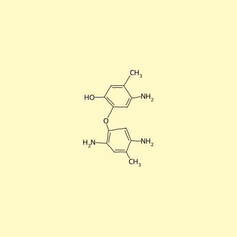 Cc1cc(N)c(Oc2cc(N)c(C)cc2O)cc1N